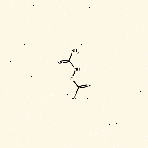 CCC(=O)ONC(N)=S